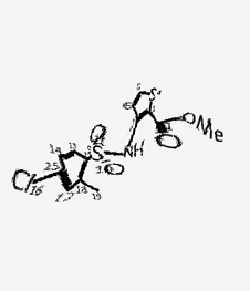 COC(=O)c1sccc1NS(=O)(=O)c1ccc(Cl)cc1C